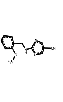 N#Cc1cnc(NCc2ccccc2OC(F)(F)F)nc1